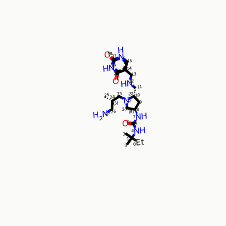 CCC(C)(C)NC(=O)N[C@@H]1C[C@@H](CNCc2c[nH]c(=O)[nH]c2=O)N(C[C@@H](C)CN)C1